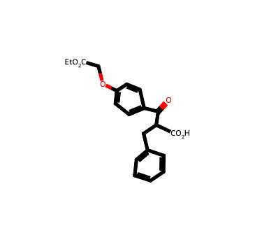 CCOC(=O)COc1ccc(C(=O)C(Cc2ccccc2)C(=O)O)cc1